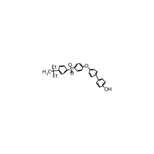 CCC(C)(CC)c1ccc(S(=O)(=O)c2ccc(Oc3ccc(-c4ccc(O)cc4)cc3)cc2)cc1